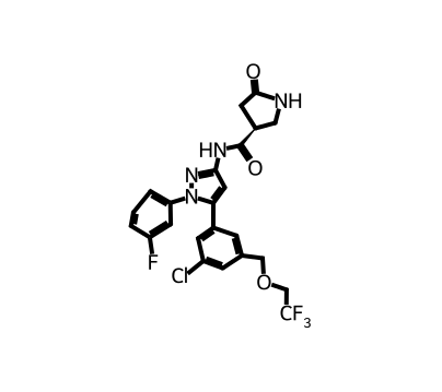 O=C1C[C@H](C(=O)Nc2cc(-c3cc(Cl)cc(COCC(F)(F)F)c3)n(-c3cccc(F)c3)n2)CN1